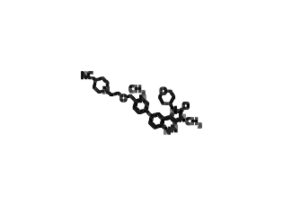 C[C@@H](OCCN1CCC(C#N)CC1)c1ccc(-c2ccc3nnc4c(c3c2)n(C2CCOCC2)c(=O)n4C)cn1